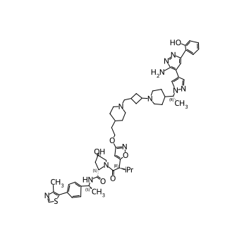 Cc1ncsc1-c1ccc([C@H](C)NC(=O)[C@@H]2C[C@@H](O)CN2C(=O)[C@@H](c2cc(OCCC3CCN(CC4CC(N5CCC([C@@H](C)n6cc(-c7cc(-c8ccccc8O)nnc7N)cn6)CC5)C4)CC3)no2)C(C)C)cc1